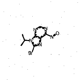 CC(C)n1c(Br)nc2c(N=O)ncnc21